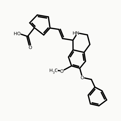 COc1cc2c(cc1OCc1ccccc1)CCNC2C=Cc1cccc(C(=O)O)c1